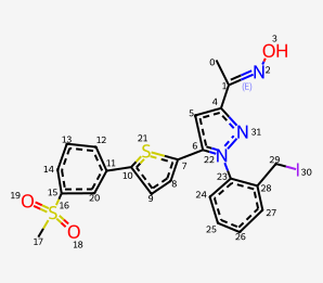 C/C(=N\O)c1cc(-c2ccc(-c3cccc(S(C)(=O)=O)c3)s2)n(-c2ccccc2CI)n1